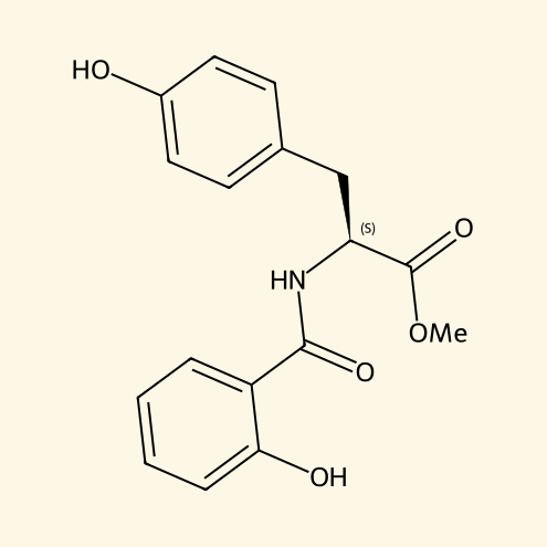 COC(=O)[C@H](Cc1ccc(O)cc1)NC(=O)c1ccccc1O